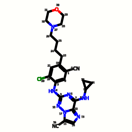 N#Cc1cc(Nc2nc(NC3CC3)c3ncc(C#N)n3n2)c(Cl)cc1CCCCN1CCOCC1